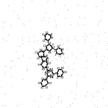 c1ccc(-c2cc(-c3ccccc3)cc(-c3cccc4c3sc3cc(-c5nc(-c6ccccc6)nc(-c6ccccc6)n5)ccc34)c2)cc1